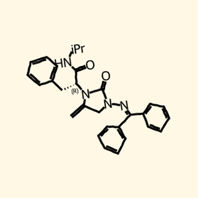 C=C1CN(N=C(c2ccccc2)c2ccccc2)C(=O)N1[C@H](Cc1ccccc1)C(=O)NC(C)C